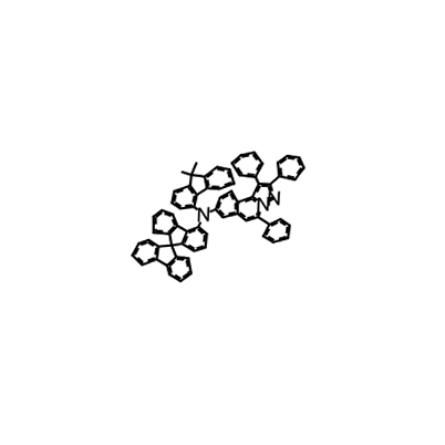 CC1(C)c2ccccc2-c2c(N(c3ccc4c(c3)cc(-c3ccccc3)n3nc(-c5ccccc5)c(-c5ccccc5)c43)c3cccc4c3-c3ccccc3C43c4ccccc4-c4ccccc43)cccc21